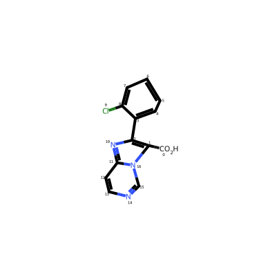 O=C(O)c1c(-c2ccccc2Cl)nc2ccncn12